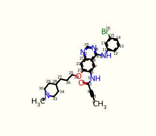 CC#CC(=O)Nc1cc2c(Nc3cccc(Br)c3)ncnc2cc1OCCCC1CCN(C)CC1